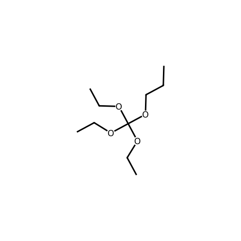 CCCOC(OCC)(OCC)OCC